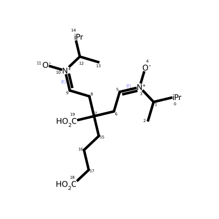 CC(C)C(C)/[N+]([O-])=C\CC(C/C=[N+](/[O-])C(C)C(C)C)(CCCC(=O)O)C(=O)O